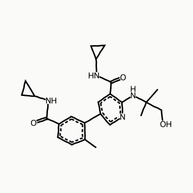 Cc1ccc(C(=O)NC2CC2)cc1-c1cnc(NC(C)(C)CO)c(C(=O)NC2CC2)c1